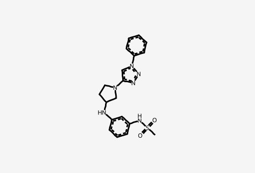 CS(=O)(=O)Nc1cccc(NC2CCN(c3cn(-c4ccccc4)nn3)C2)c1